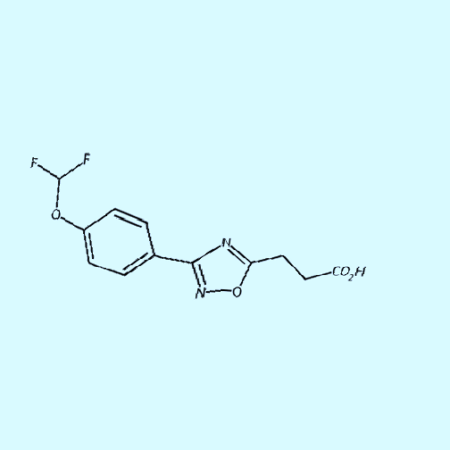 O=C(O)CCc1nc(-c2ccc(OC(F)F)cc2)no1